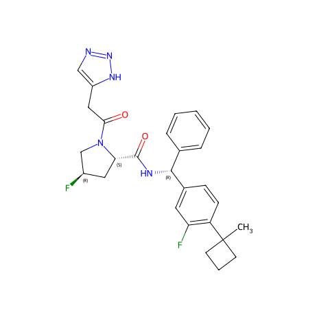 CC1(c2ccc([C@H](NC(=O)[C@@H]3C[C@@H](F)CN3C(=O)Cc3cnn[nH]3)c3ccccc3)cc2F)CCC1